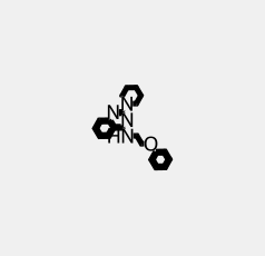 c1ccc(OCCNc2nc(N3CCCCC3)nc3ccccc23)cc1